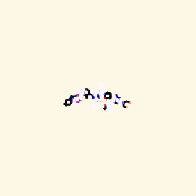 C=CC(=O)Nc1cc(Nc2nc(-c3ccnc(N4CCn5c(cc6c5CC(C)(C)C6)C4=O)c3CO)c[nH]c2=O)ccc1N1CCN(C2CCOCC2)CC1C